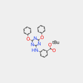 CC(C)(C)OC(=O)c1cccc(Nc2nc(Oc3ccccc3)nc(Oc3ccccc3)n2)c1